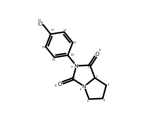 O=C1C2CCCN2C(=O)N1c1ccc(Cl)cc1